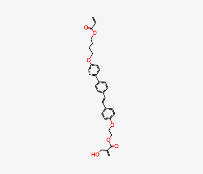 C=CC(=O)OCCCCOc1ccc(-c2ccc(/C=C/c3ccc(OCCOC(=O)C(=C)CO)cc3)cc2)cc1